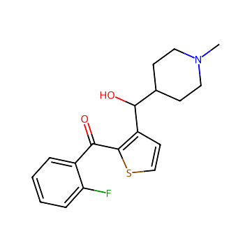 CN1CCC(C(O)c2ccsc2C(=O)c2ccccc2F)CC1